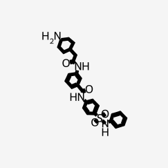 NC1CCC(CC(=O)Nc2cccc(C(=O)Nc3ccc(S(=O)(=O)Nc4ccccc4)cc3)c2)CC1